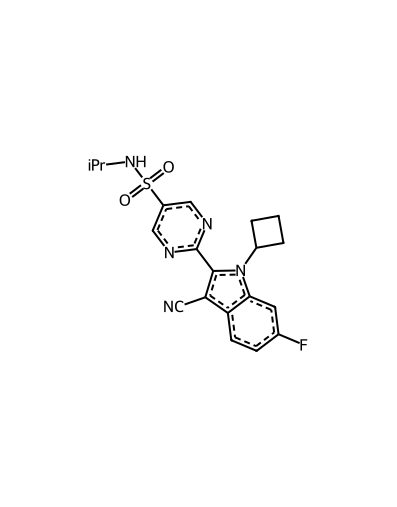 CC(C)NS(=O)(=O)c1cnc(-c2c(C#N)c3ccc(F)cc3n2C2CCC2)nc1